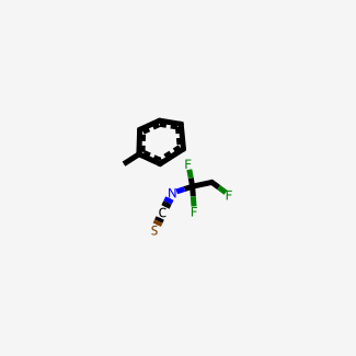 Cc1ccccc1.FCC(F)(F)N=C=S